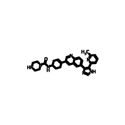 Cc1cccc(-c2[nH]cnc2-c2ccc3ncc(C4=CCC(NC(=O)N5CCNCC5)CC4)cc3c2)n1